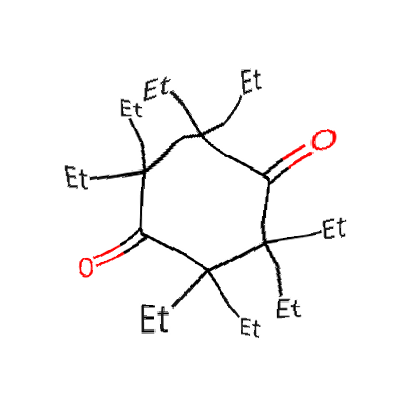 CCC1(CC)C(=O)C(CC)(CC)C(CC)(CC)C(=O)C1(CC)CC